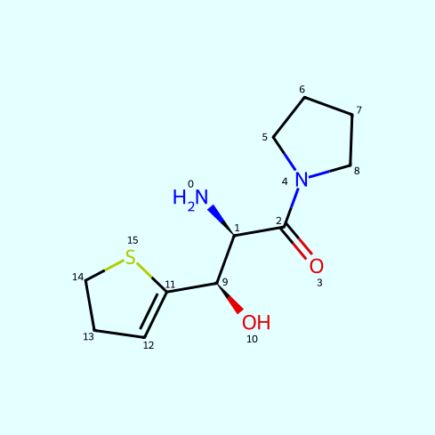 N[C@@H](C(=O)N1CCCC1)[C@@H](O)C1=CCCS1